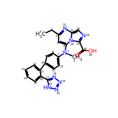 CCc1cc(N(C)c2ccc(-c3ccccc3-c3nnn[nH]3)cc2)n2c(C(=O)O)ncc2n1